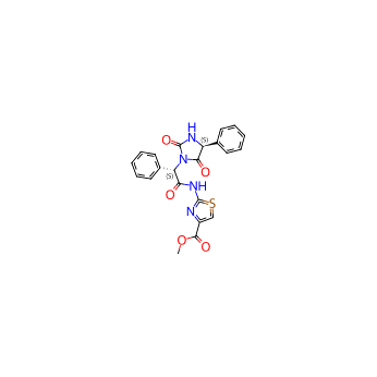 COC(=O)c1csc(NC(=O)[C@H](c2ccccc2)N2C(=O)N[C@@H](c3ccccc3)C2=O)n1